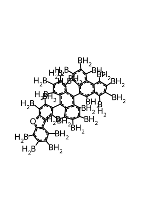 Bc1c(B)c(B)c2c(oc3c(B)c(B)c(-c4c5c(B)c(B)c(B)c(B)c5c(-c5c(B)c6c(B)c(B)c(B)c(B)c6c6c(B)c(B)c(B)c(B)c56)c5c(B)c(B)c(B)c(B)c45)c(B)c32)c1B